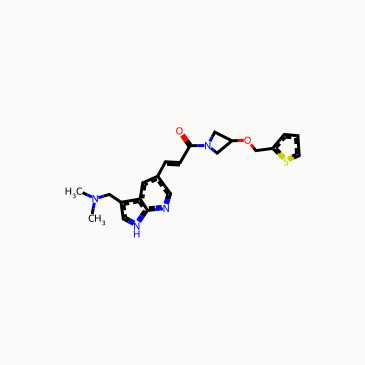 CN(C)Cc1c[nH]c2ncc(C=CC(=O)N3CC(OCc4cccs4)C3)cc12